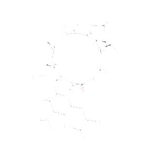 CC[C@H]1OC(=O)C(C)C(=O)[C@H](C)[C@@H](OC2OC(CN(C)C(C)C)CC(N(C)C)C2O)[C@](C)(OC)C[C@@H](C)CN(C)[C@H](C)[C@H]2NC(=O)O[C@@]21CC